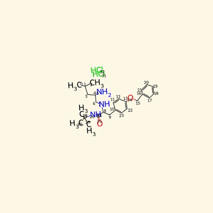 CC(C)CC(N)CNC(Cc1ccc(OCc2ccccc2)cc1)C(=O)NC(C)(C)C.Cl.Cl